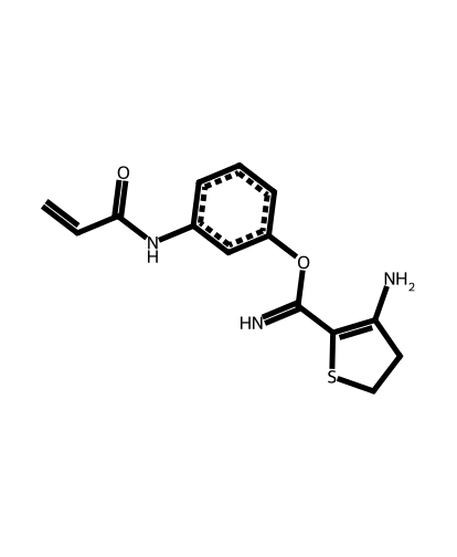 C=CC(=O)Nc1cccc(OC(=N)C2=C(N)CCS2)c1